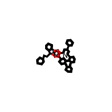 c1ccc(CCC2c3ccccc3-c3ccc(-c4ccc5c6ccccc6c6cccc(-c7cc(-c8ccccc8)cc(-c8ccccc8)n7)c6c5c4)cc32)cc1